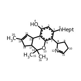 CCCCCCCc1cc(O)c2c(c1C1CCC=N1)OC(C)(C)C1CC(C)=CC21